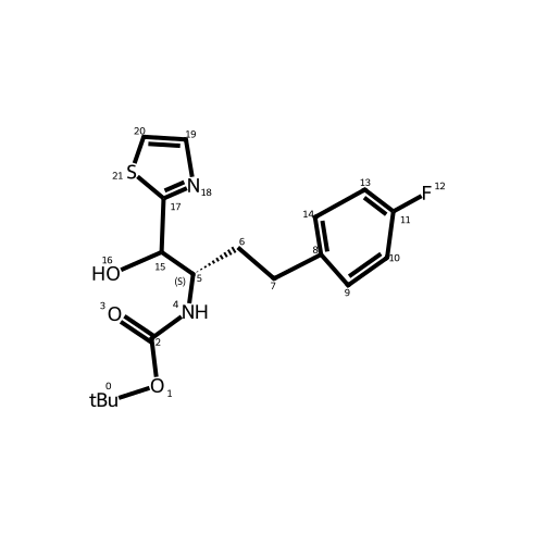 CC(C)(C)OC(=O)N[C@@H](CCc1ccc(F)cc1)C(O)c1nccs1